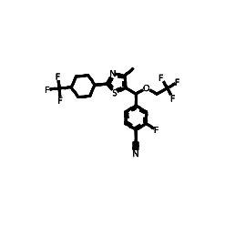 Cc1nc(C2CCC(C(F)(F)F)CC2)sc1C(OCC(F)(F)F)c1ccc(C#N)c(F)c1